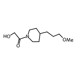 COCCCC1CCN(C(=O)CO)CC1